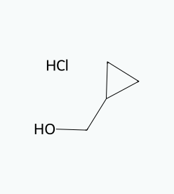 Cl.OCC1CC1